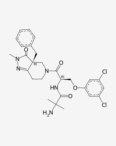 CN1N=C2CCN(C(=O)[C@@H](COc3cc(Cl)cc(Cl)c3)NC(=O)C(C)(C)N)C[C@@]2(Cc2ccccc2)C1=O